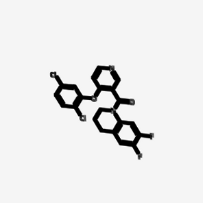 O=C(c1cnccc1Oc1cc(Cl)ccc1Cl)N1CCCc2cc(F)c(F)cc21